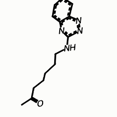 CC(=O)CCCCCNc1nnc2ccccc2n1